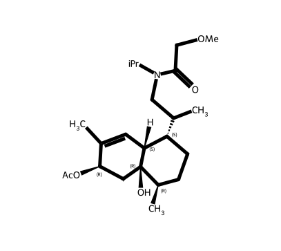 COCC(=O)N(CC(C)[C@@H]1CC[C@@H](C)[C@]2(O)[CH][C@@H](OC(C)=O)C(C)=C[C@H]12)C(C)C